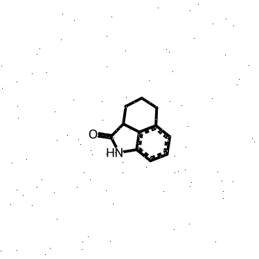 O=C1Nc2cccc3c2C1CCC3